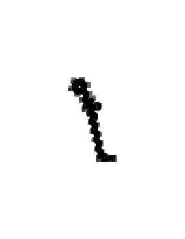 CCCCCCCCCCCCCCCCCCOOC(=O)C(C)(C)CCc1ccccc1